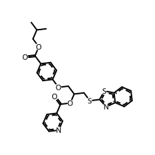 CC(C)COC(=O)c1ccc(OCC(CSc2nc3ccccc3s2)OC(=O)c2cccnc2)cc1